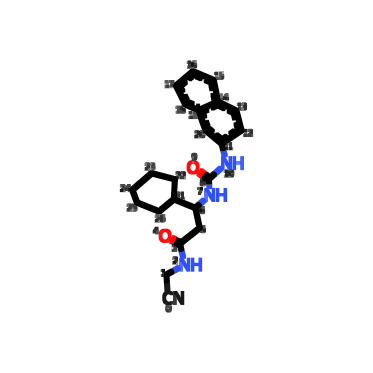 N#CCNC(=O)CC(NC(=O)Nc1ccc2ccccc2c1)C1CCCCC1